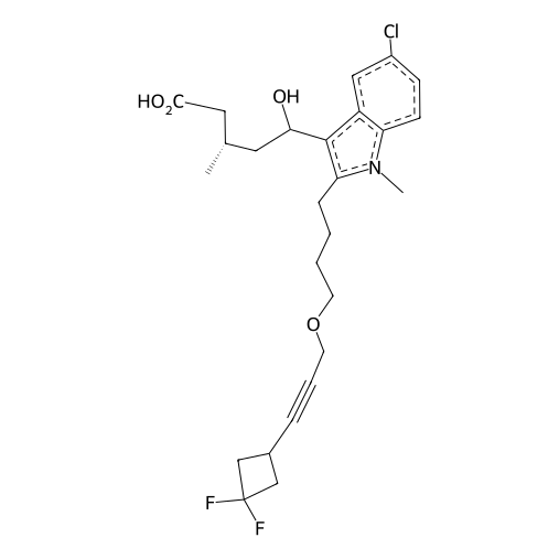 C[C@H](CC(=O)O)CC(O)c1c(CCCCOCC#CC2CC(F)(F)C2)n(C)c2ccc(Cl)cc12